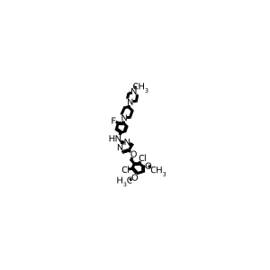 COc1cc(OC)c(Cl)c(COc2cnc(Nc3ccc(N4CCC(N5CCN(C)CC5)CC4)c(F)c3)nc2)c1Cl